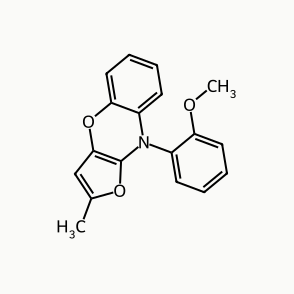 COc1ccccc1N1c2ccccc2Oc2cc(C)oc21